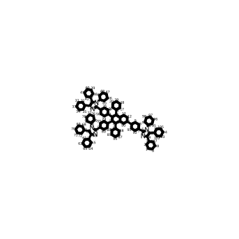 c1ccc(-c2nc(-c3ccc(-c4ccc5c(-c6ccccc6)c(-c6ccc(-c7nc(-c8ccccc8)c(-c8ccccc8)n7-c7ccccc7)cc6)c(-c6ccc(-c7nc(-c8ccccc8)c(-c8ccccc8)n7-c7ccccc7)cc6)c(-c6ccccc6)c5c4)cc3)n(-c3ccccc3)c2-c2ccccc2)cc1